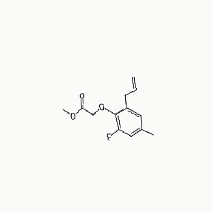 C=CCc1cc(C)cc(F)c1OCC(=O)OC